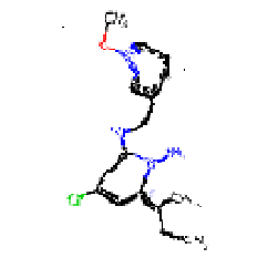 CC/C(C)=C1\C=C(Cl)C=C(NCc2ccc[n+](OC)c2)N1N